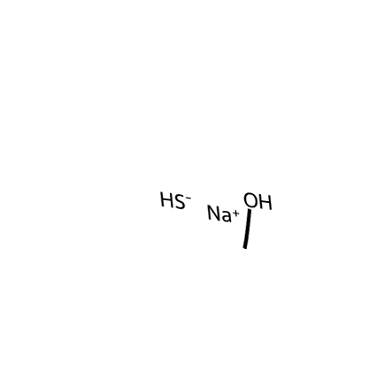 CO.[Na+].[SH-]